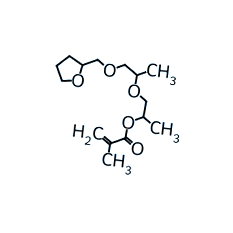 C=C(C)C(=O)OC(C)COC(C)COCC1CCCO1